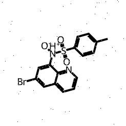 Cc1ccc(S(=O)(=O)[NH+]([O-])c2cc(Br)cc3cccnc23)cc1